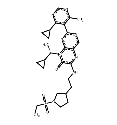 CCS(=O)(=O)N1CCC(CCNc2nc3cnc(-c4c(C)ncnc4C4CC4)nc3n([C@@H](C)C3CC3)c2=O)C1